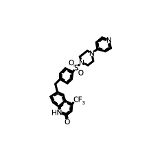 O=c1cc(C(F)(F)F)c2cc(Cc3ccc(S(=O)(=O)N4CCN(c5ccncc5)CC4)cc3)ccc2[nH]1